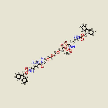 CC(C)(C)OC(=O)N[C@@H](CCCCNC(=O)OCC1c2ccccc2-c2ccccc21)C(=O)OC(=O)CCOCCOCCOCCNC(=O)[C@@H](N)CCCCNC(=O)OCC1c2ccccc2-c2ccccc21